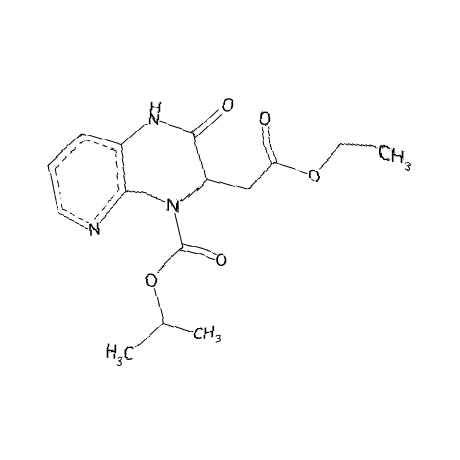 CCOC(=O)CC1C(=O)Nc2cccnc2N1C(=O)OC(C)C